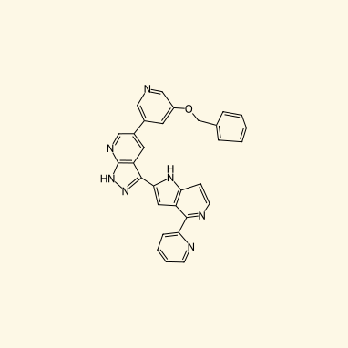 c1ccc(COc2cncc(-c3cnc4[nH]nc(-c5cc6c(-c7ccccn7)nccc6[nH]5)c4c3)c2)cc1